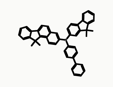 CC1(C)c2ccccc2-c2ccc(N(c3ccc(-c4ccccc4)cc3)c3ccc4c5c(ccc4c3)-c3ccccc3C5(C)C)cc21